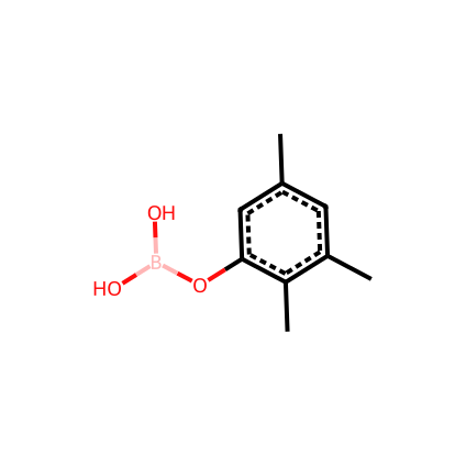 Cc1cc(C)c(C)c(OB(O)O)c1